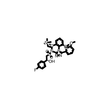 COc1cccc(-c2nnc(N(CC[Si](C)(C)C)S(=O)(=O)C[C@H](O)c3ccc(F)cc3)n2-c2c(OC)cccc2OC)n1